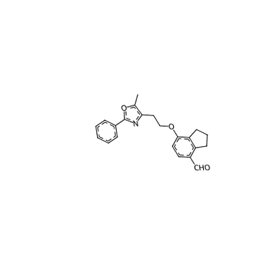 Cc1oc(-c2ccccc2)nc1CCOc1ccc(C=O)c2c1CCC2